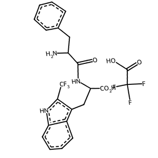 NC(Cc1ccccc1)C(=O)NC(Cc1c(C(F)(F)F)[nH]c2ccccc12)C(=O)O.O=C(O)C(F)(F)F